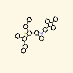 c1ccc(-c2cccc(-c3cc(-c4ccc5c(c4)c4ccccc4n5-c4ccc(-c5c6ccccc6c(-c6ccccc6)c6ccccc56)cc4)cc4c3sc3c(-c5ccccc5)cc(-c5ccc6ccccc6c5)cc34)c2)cc1